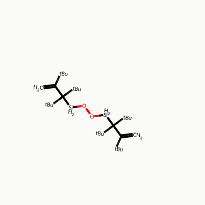 C=C(C(C)(C)C)C([SiH2]OO[SiH2]C(C(=C)C(C)(C)C)(C(C)(C)C)C(C)(C)C)(C(C)(C)C)C(C)(C)C